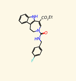 CCOC(=O)C1=CN(C(=O)NCc2ccc(F)cc2)CCc2c1[nH]c1ccccc21